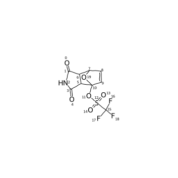 O=C1NC(=O)C2C1C1C=CC2(OS(=O)(=O)C(F)(F)F)O1